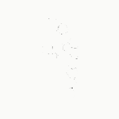 CCNC(=O)Nc1ccc(Oc2ccnc3c2c(N[C@@H]2CCCNC2)nn3Cc2ccc(OC)cc2)cc1